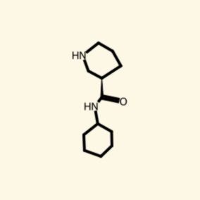 O=C(NC1CCCCC1)[C@@H]1CCCNC1